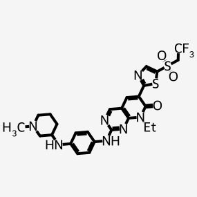 CCn1c(=O)c(-c2ncc(S(=O)(=O)CC(F)(F)F)s2)cc2cnc(Nc3ccc(NC4CCCN(C)C4)cc3)nc21